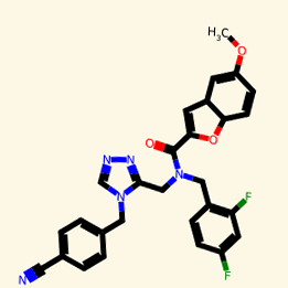 COC1=CC2C=C(C(=O)N(Cc3ccc(F)cc3F)Cc3nncn3Cc3ccc(C#N)cc3)OC2C=C1